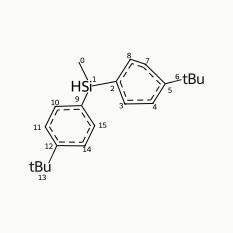 C[SiH](c1ccc(C(C)(C)C)cc1)c1ccc(C(C)(C)C)cc1